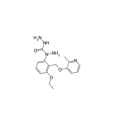 CCOc1cccc(N(N)C(=O)NN)c1COc1cccnc1C